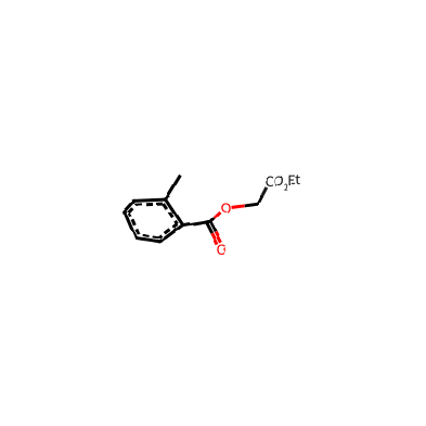 CCOC(=O)COC(=O)c1ccccc1C